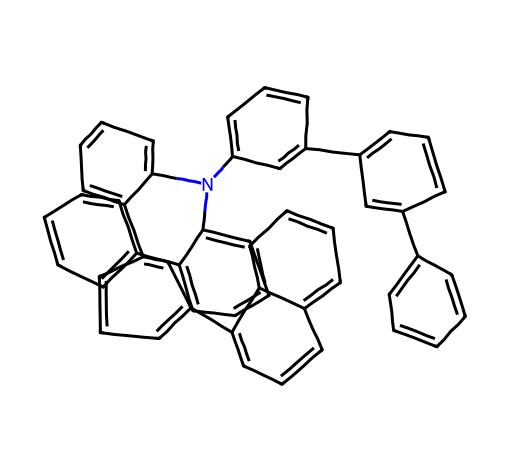 c1ccc(-c2cccc(-c3cccc(N(c4ccccc4-c4ccccc4)c4ccccc4-c4cccc(-c5cccc6ccccc56)c4)c3)c2)cc1